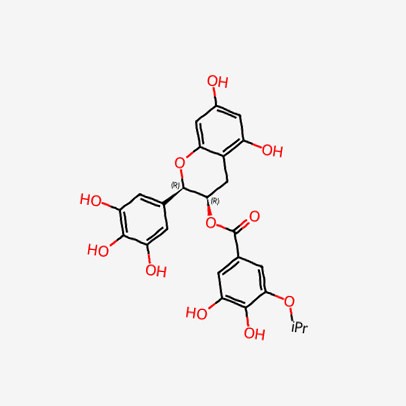 CC(C)Oc1cc(C(=O)O[C@@H]2Cc3c(O)cc(O)cc3O[C@@H]2c2cc(O)c(O)c(O)c2)cc(O)c1O